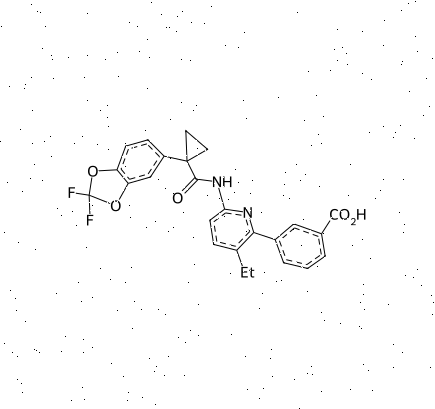 CCc1ccc(NC(=O)C2(c3ccc4c(c3)OC(F)(F)O4)CC2)nc1-c1cccc(C(=O)O)c1